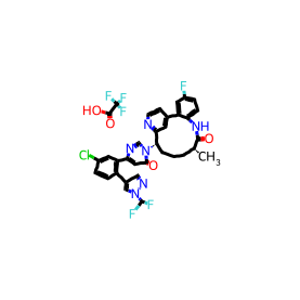 C[C@@H]1CCC[C@H](n2cnc(-c3cc(Cl)ccc3-c3cnn(C(F)F)c3)cc2=O)c2cc(ccn2)-c2cc(F)ccc2NC1=O.O=C(O)C(F)(F)F